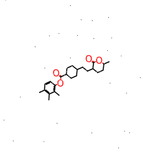 Cc1ccc(OC(=O)C2CCC(CCC3CCC(C)OC3=O)CC2)c(C)c1C